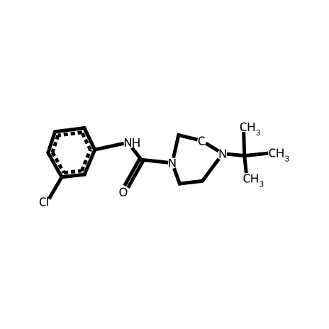 CC(C)(C)N1CCN(C(=O)Nc2cccc(Cl)c2)CC1